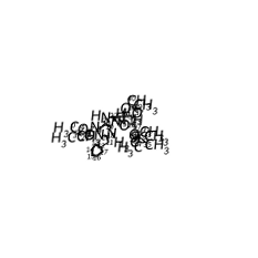 CC(C)(C)OC(=O)Nc1nc(Cc2ccccc2)nc2c1ncn2[C@@H]1O[C@H](CO[Si](C)(C)C(C)(C)C)[C@H]2OC(C)(C)O[C@H]21